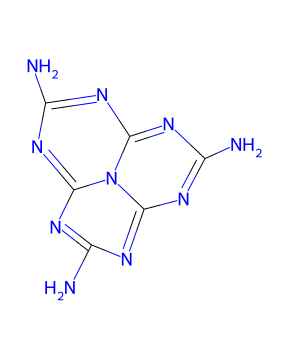 NC1=NC2=NC(N)=NC3=NC(N)=NC(=N1)N23